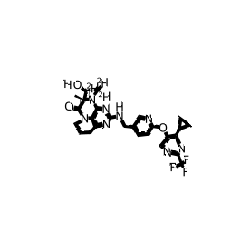 [2H]C([2H])([2H])N1c2nc(NCc3ccc(Oc4cnc(C(F)(F)F)nc4C4CC4)nc3)nc3c2N(CCC3)C(=O)[C@]1(C)[C@H](C)O